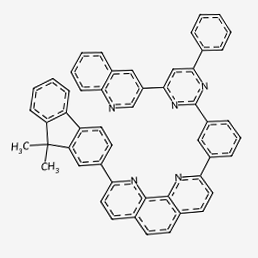 CC1(C)c2ccccc2-c2ccc(-c3ccc4ccc5ccc(-c6cccc(-c7nc(-c8ccccc8)cc(-c8cnc9ccccc9c8)n7)c6)nc5c4n3)cc21